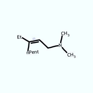 CCCCC/C(=C\CN(C)C)CC